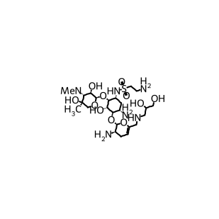 CN[C@@H]1[C@@H](O)[C@@H](O[C@@H]2[C@@H](O)[C@H](O[C@H]3OC(CNCC(O)CO)=CC[C@H]3N)[C@@H](N)C[C@H]2NS(=O)(=O)CCN)OC[C@]1(C)O